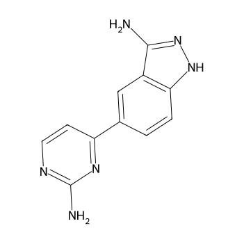 Nc1nccc(-c2ccc3[nH]nc(N)c3c2)n1